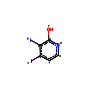 Oc1nccc(I)c1I